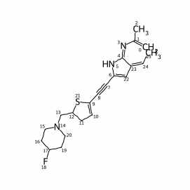 C=C(C)/N=C1/NC(C#CC2=CCC(CN3CCC(F)CC3)S2)=C/C1=C/C